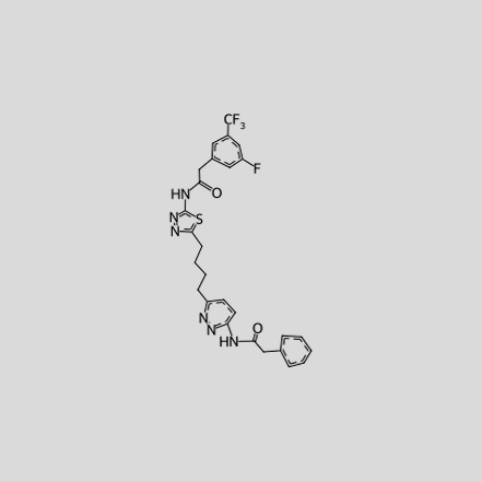 O=C(Cc1ccccc1)Nc1ccc(CCCCc2nnc(NC(=O)Cc3cc(F)cc(C(F)(F)F)c3)s2)nn1